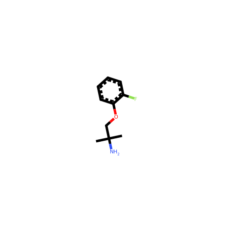 CC(C)(N)COc1ccccc1F